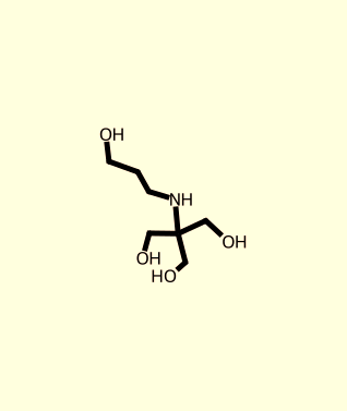 OCCCNC(CO)(CO)CO